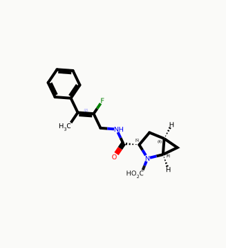 C/C(=C(/F)CNC(=O)[C@@H]1C[C@H]2C[C@H]2N1C(=O)O)c1ccccc1